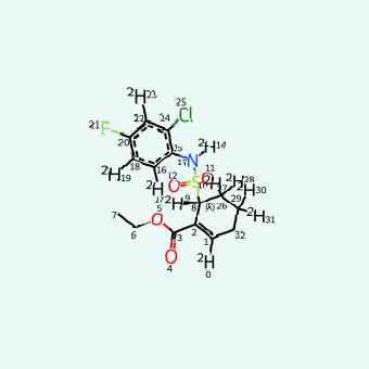 [2H]C1=C(C(=O)OCC)[C@]([2H])(S(=O)(=O)N([2H])c2c([2H])c([2H])c(F)c([2H])c2Cl)C([2H])([2H])C([2H])([2H])C1